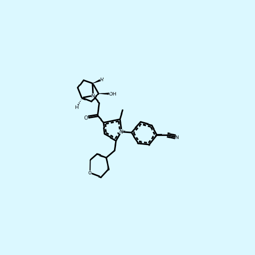 Cc1c(C(=O)CN2[C@@H]3CC[C@@H]2[C@@H](O)C3)cc(CC2CCOCC2)n1-c1ccc(C#N)cc1